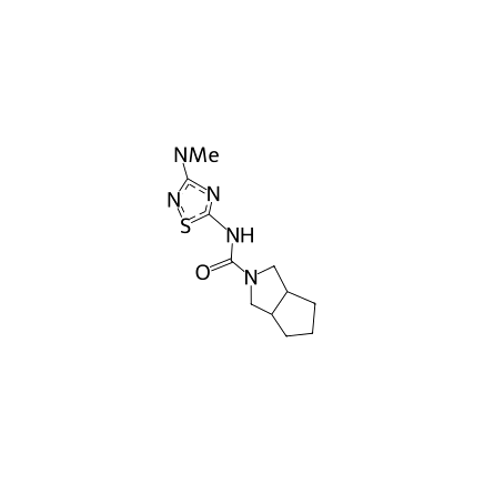 CNc1nsc(NC(=O)N2CC3CCCC3C2)n1